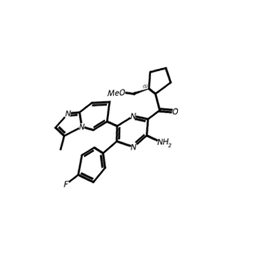 COC[C@H]1CCCC1C(=O)c1nc(-c2ccc3ncc(C)n3c2)c(-c2ccc(F)cc2)nc1N